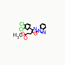 COC(=O)CCc1oc(-n2cnc3ccccc32)nc1-c1ccc(Cl)c(Cl)c1